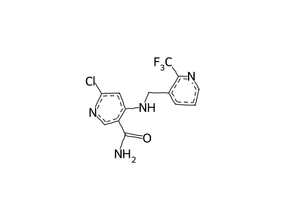 NC(=O)c1cnc(Cl)cc1NCc1cccnc1C(F)(F)F